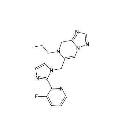 CCCN1Cc2ncnn2C=C1Cn1ccnc1-c1ncccc1F